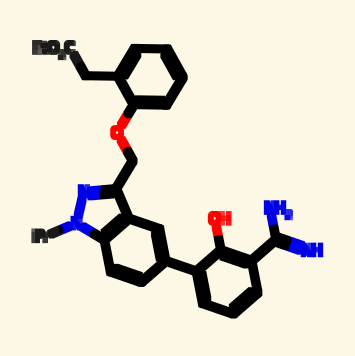 CCOC(=O)Cc1ccccc1OCc1nn(C(C)C)c2ccc(-c3cccc(C(=N)N)c3O)cc12